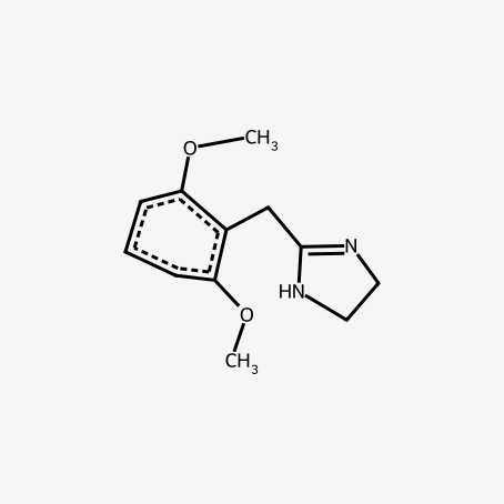 COc1cccc(OC)c1CC1=NCCN1